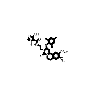 CCOc1cc2c(cc1OC)-c1c/c(=N\c3c(C)cc(C)cc3C)n(CCNC(=O)c3[nH]cnc3O)c(=O)n1CC2